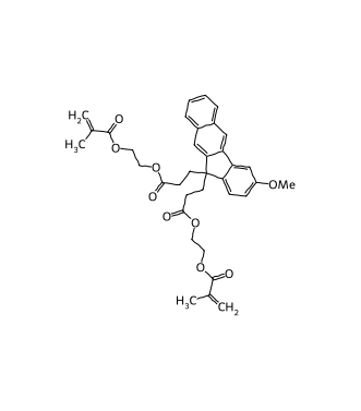 C=C(C)C(=O)OCCOC(=O)CCC1(CCC(=O)OCCOC(=O)C(=C)C)c2ccc(OC)cc2-c2cc3ccccc3cc21